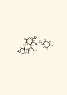 O=C1NC2(CCOC2)Cn2ccc(=O)c(OCc3ccccc3)c21